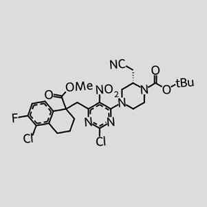 COC(=O)C1(Cc2nc(Cl)nc(N3CCN(C(=O)OC(C)(C)C)[C@@H](CC#N)C3)c2[N+](=O)[O-])CCCc2c1ccc(F)c2Cl